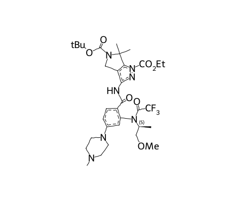 CCOC(=O)n1nc(NC(=O)c2ccc(N3CCN(C)CC3)cc2N(C(=O)C(F)(F)F)[C@@H](C)COC)c2c1C(C)(C)N(C(=O)OC(C)(C)C)C2